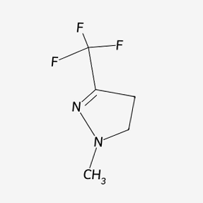 CN1CCC(C(F)(F)F)=N1